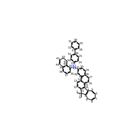 CC1(C)C2=C(C=CC=CC2)c2c1ccc1c2ccc2ccc(N(c3ccc(-c4ccccc4)cc3)c3cccc4c3CCC=C4)cc21